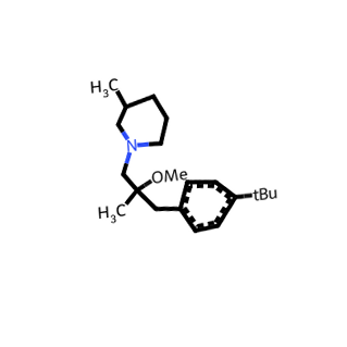 COC(C)(Cc1ccc(C(C)(C)C)cc1)CN1CCCC(C)C1